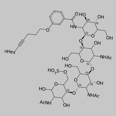 CCCCCCC#CCCCOc1cccc(C(=O)NC2[C@H](O[C@@H]3C(CO)O[C@@H](O[C@@H]4C(CO)O[C@@H](O[C@@H]5C(COS(=O)(=O)O)OC(O)C(NC(C)=O)C5O)C(NC(C)=O)[C@H]4O)C(NC(C)=O)C3O)OC(CO)[C@@H](O)[C@@H]2O)c1